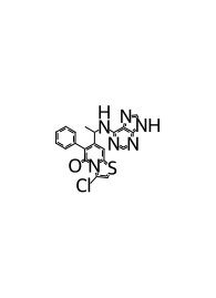 CC(Nc1ncnc2[nH]cnc12)c1cc2scc(Cl)n2c(=O)c1-c1ccccc1